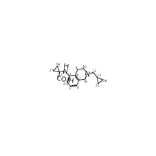 O=C(O)C1(Nc2cccc3c2CCN(CC2CC2)C3)CC1